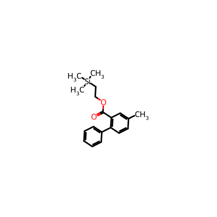 Cc1ccc(-c2ccccc2)c(C(=O)OCC[Si](C)(C)C)c1